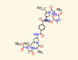 C[C@@H](C(=O)N[C@H](C(=O)N1C[C@@H](NC(=O)c2ccc(C(=O)N[C@H]3C[C@@H](C(=O)O)N(C(=O)[C@@H](NC(=O)[C@H](C)N(C)C(=O)OC(C)(C)C)C(C)(C)C)C3)cc2)C[C@H]1C(=O)O)C(C)(C)C)N(C)C(=O)OC(C)(C)C